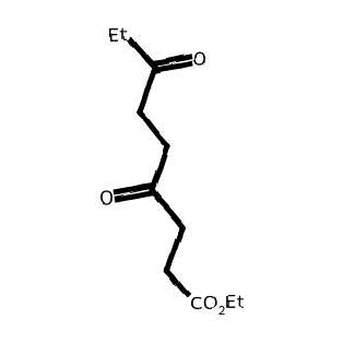 CCOC(=O)CCC(=O)CCC(=O)CC